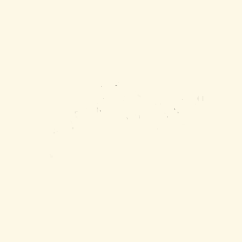 CCN(CO)C(=O)Oc1ccc2c(c1)CCC2NCC#CC(=O)OC(C)(C)C